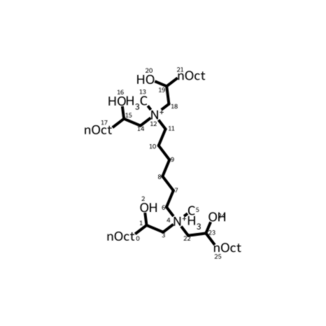 CCCCCCCCC(O)C[N+](C)(CCCCCC[N+](C)(CC(O)CCCCCCCC)CC(O)CCCCCCCC)CC(O)CCCCCCCC